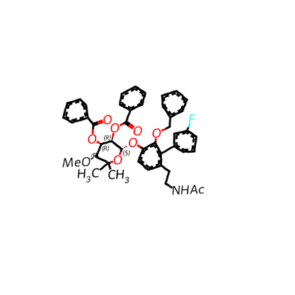 CO[C@@H]1[C@@H](OC(=O)c2ccccc2)[C@@H](OC(=O)c2ccccc2)[C@H](Oc2ccc(CCNC(C)=O)c(-c3cccc(F)c3)c2OCc2ccccc2)OC1(C)C